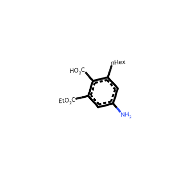 CCCCCCc1cc(N)cc(C(=O)OCC)c1C(=O)O